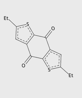 CCc1cc2c(s1)C(=O)c1cc(CC)sc1C2=O